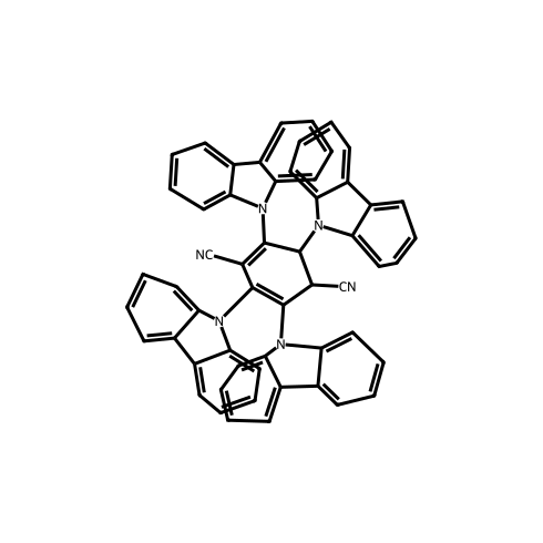 N#CC1=C(n2c3ccccc3c3ccccc32)C(n2c3ccccc3c3ccccc32)C(C#N)C(n2c3ccccc3c3ccccc32)=C1n1c2ccccc2c2ccccc21